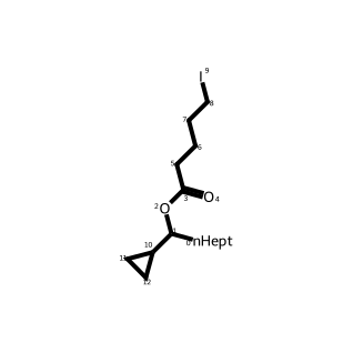 CCCCCCCC(OC(=O)CCCCI)C1CC1